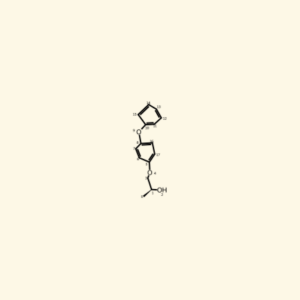 C[C@H](O)COc1ccc(Oc2ccccc2)cc1